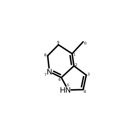 CC1=c2cc[nH]c2=NCC1